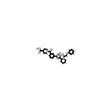 O=C(O)C1CCN(C(=O)c2cccc(-c3n[nH]c(C4CCCCN4C(=O)COc4ccccc4)n3)c2)CC1